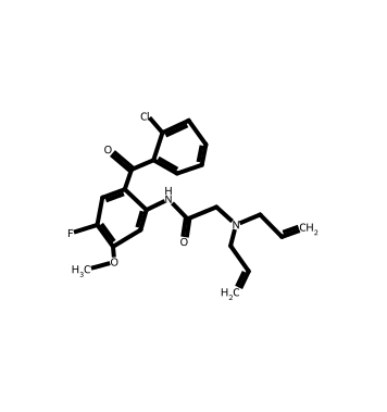 C=CCN(CC=C)CC(=O)Nc1cc(OC)c(F)cc1C(=O)c1ccccc1Cl